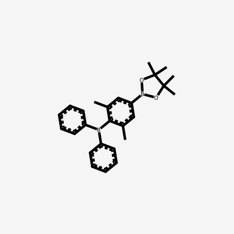 Cc1cc(B2OC(C)(C)C(C)(C)O2)cc(C)c1B(c1ccccc1)c1ccccc1